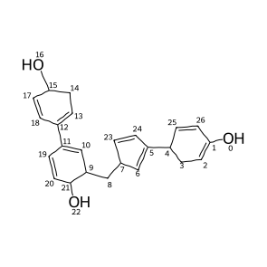 OC1=CCC(C2=CC(CC3C=C(C4=CCC(O)C=C4)C=CC3O)C=C2)C=C1